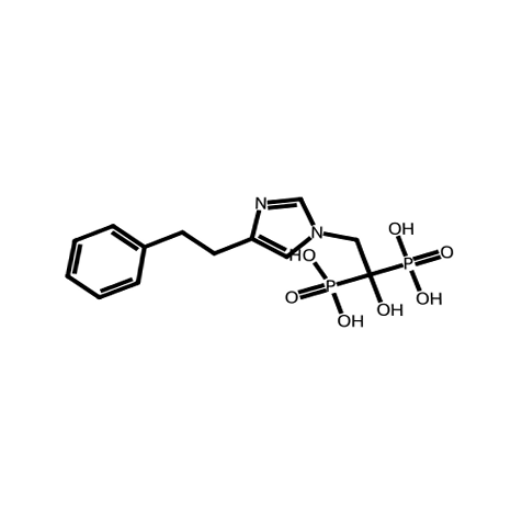 O=P(O)(O)C(O)(Cn1cnc(CCc2ccccc2)c1)P(=O)(O)O